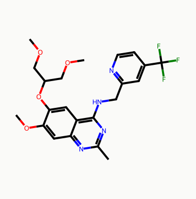 COCC(COC)Oc1cc2c(NCc3cc(C(F)(F)F)ccn3)nc(C)nc2cc1OC